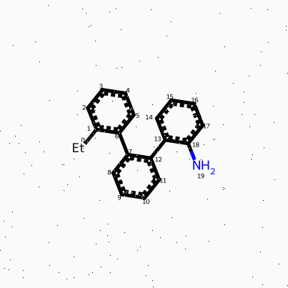 CCc1ccccc1-c1ccccc1-c1ccccc1N